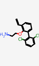 C=Cc1cccc(-c2c(Cl)cccc2Cl)c1OCCN